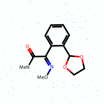 CNC(=O)C(=NOC)c1ccccc1C1OCCO1